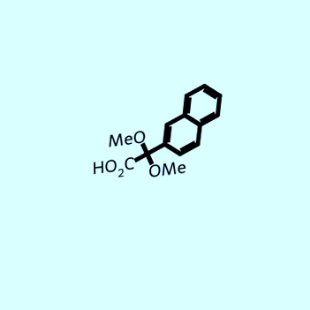 COC(OC)(C(=O)O)c1ccc2ccccc2c1